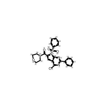 O=C(c1cc2c(Cl)nc(-c3ccccc3)nc2n1S(=O)(=O)c1ccccc1)N1CCOCC1